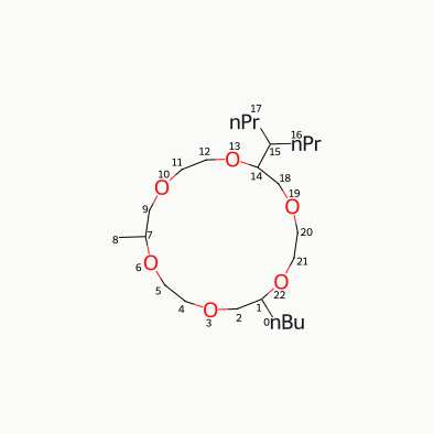 CCCCC1COCCOC(C)COCCOC(C(CCC)CCC)COCCO1